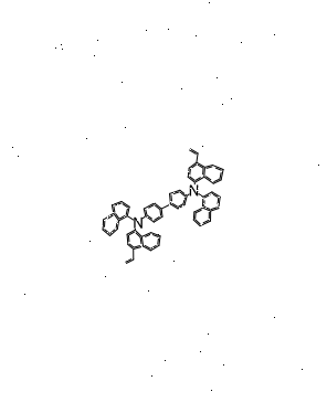 C=Cc1ccc(N(c2ccc(-c3ccc(N(c4cccc5ccccc45)c4ccc(C=C)c5ccccc45)cc3)cc2)c2cccc3ccccc23)c2ccccc12